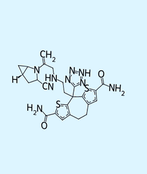 C=C(CNCCC1(c2nn[nH]n2)c2sc(C(N)=O)cc2CCc2cc(C(N)=O)sc21)N1C(C#N)C[C@@H]2CC21